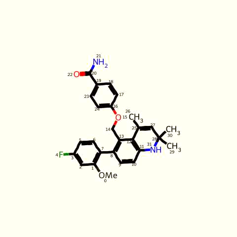 COc1cc(F)ccc1-c1ccc2c(c1COc1ccc(C(N)=O)cc1)C(C)=CC(C)(C)N2